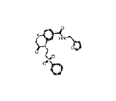 O=C(NCc1ccco1)c1ccc2c(c1)N(CCS(=O)(=O)c1ccccc1)C(=O)CS2